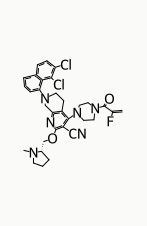 C=C(F)C(=O)N1CCN(c2c(C#N)c(OC[C@@H]3CCCN3C)nc3c2CCN(c2cccc4ccc(Cl)c(Cl)c24)C3)CC1